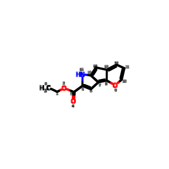 CCOC(=O)c1cc2c3occcc-3cc2[nH]1